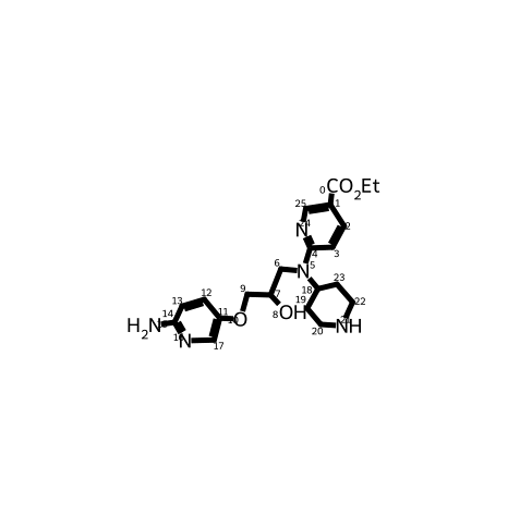 CCOC(=O)c1ccc(N(CC(O)COc2ccc(N)nc2)C2CCNCC2)nc1